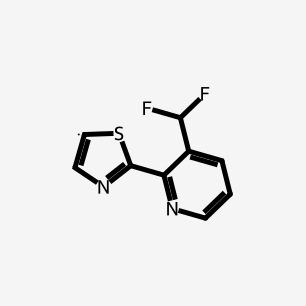 FC(F)c1cccnc1-c1nc[c]s1